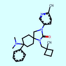 CN(C)C1(c2ccccc2)CCC2(CC1)CN(c1ccc(C#N)nc1)C(=O)N2CC1(C#N)CCC1